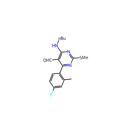 CCCCNc1nc(SC)nc(-c2ccc(F)cc2C)c1C=O